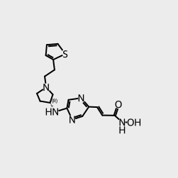 O=C(C=Cc1cnc(N[C@@H]2CCN(CCc3cccs3)C2)cn1)NO